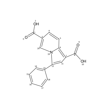 O=C(O)c1ccc2c(C(=O)O)cc(-c3ccccc3)n2c1